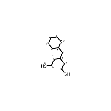 SCSC(CC1CSCCS1)SCS